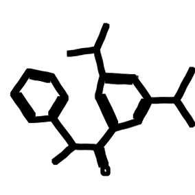 CC(C)c1[c]c(C(C)C)cc(C(=O)C(C)c2ccccc2)c1